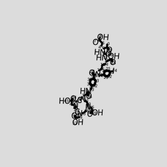 CC(=O)[C@@H](CCC(=O)O)NC(=O)N[C@H](CCCCN(Cc1ccc(I)cc1)C(=O)c1ccc(CNC(=O)CN2CCN(CC(=O)O)CCN(CC(=O)O)CCN(CC(=O)O)CC2)cc1)C(=O)O